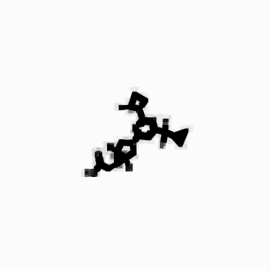 C[C@H]1CCN1c1nc(N2C[C@@H]3[C@@H](CC(=O)O)[C@@H]3C2)cc(C(F)(F)C2CC2)n1